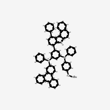 CCCCOc1ccc(N(c2ccccc2)c2cc(-c3ccc(-c4ccccc4)c4c3sc3ccc5ccccc5c34)cc(N(c3ccccc3)c3ccc4c5ccccc5c5ccccc5c4c3)c2)cc1